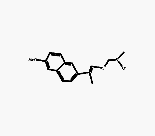 COc1ccc2cc(C(C)=CSC[S+](C)[O-])ccc2c1